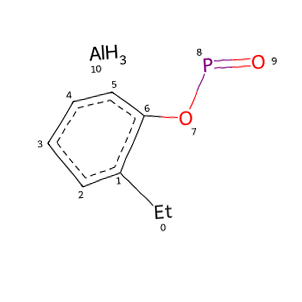 CCc1ccccc1OP=O.[AlH3]